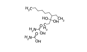 CCCCCCC(CC)C(O)(O)CC.NC(=O)O.NC(=O)O